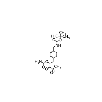 CC(C)(C)OC(=O)NCc1ccc(C[C@H](OC(N)=O)C(=O)[C@]2(C)CO2)cc1